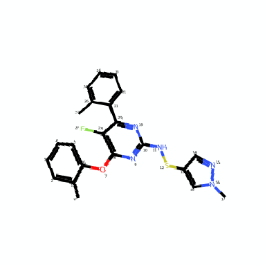 Cc1ccccc1Oc1nc(NSc2cnn(C)c2)nc(-c2ccccc2C)c1F